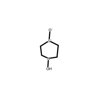 [O-][S+]1CCN(O)CC1